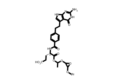 CC(C)OC1OC1OC(C)OC(=O)[C@H](CCC(=O)O)NC(=O)c1ccc(CCc2c[nH]c3nc(N)[nH]c(=O)c23)cc1